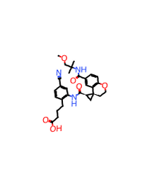 COCC(C)(C)NC(=O)c1ccc2c(c1)[C@]1(CCO2)C[C@H]1C(=O)Nc1cc(C#N)ccc1CCCC(=O)O